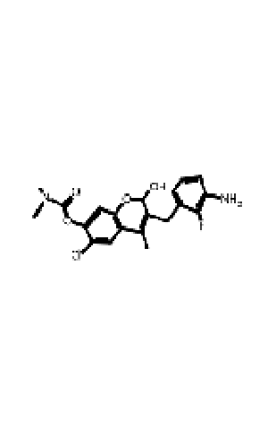 CC1=C(Cc2cccc(N)c2F)C(O)Oc2cc(OC(=O)N(C)C)c(Cl)cc21